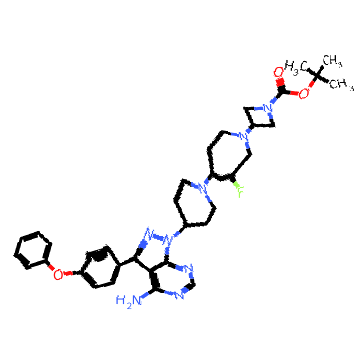 CC(C)(C)OC(=O)N1CC(N2CCC(N3CCC(n4nc(-c5ccc(Oc6ccccc6)cc5)c5c(N)ncnc54)CC3)C(F)C2)C1